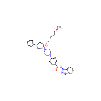 COCCCCCOC1(N2CCN(c3ccc(C(=O)On4nnc5ccccc54)cc3)CC2)C=CC(c2ccccc2)C=C1